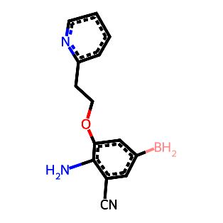 Bc1cc(C#N)c(N)c(OCCc2ccccn2)c1